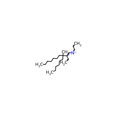 C=C/C=N\C=C(/C=C)C(C)(CCCCCC)CCCCCCC